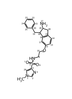 Cn1cnc(S(=O)(=O)NCCOc2ccc3c(c2)C(Cc2ccccc2)C(N)C3)c1